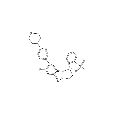 CS(=O)(=O)c1ccccc1[C@@H]1CCc2nc3cc(F)c(-c4cnc(N5CCOCC5)nc4)cc3n21